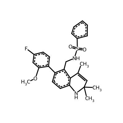 COc1cc(F)ccc1-c1ccc2c(c1CNS(=O)(=O)c1ccccc1)C(C)=CC(C)(C)N2